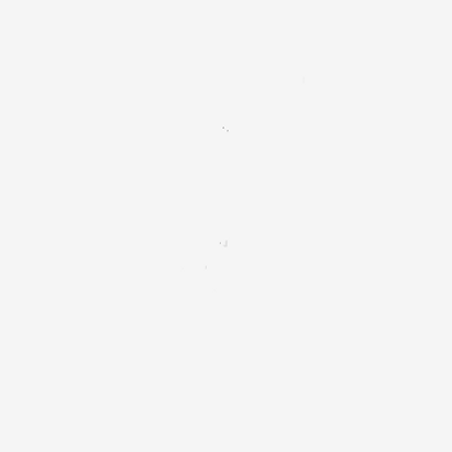 C=CC(=O)NCCCC(=O)N(CCC(=O)O)CCC(=O)O